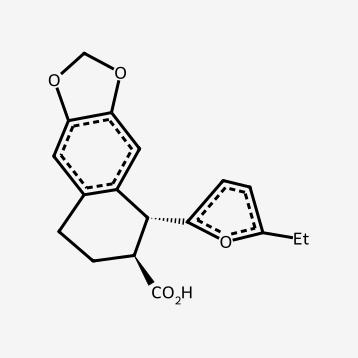 CCc1ccc([C@H]2c3cc4c(cc3CC[C@@H]2C(=O)O)OCO4)o1